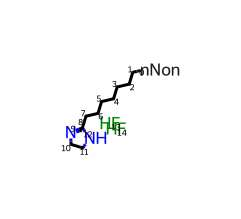 CCCCCCCCCCCCCCCCC1=NCCN1.F.F